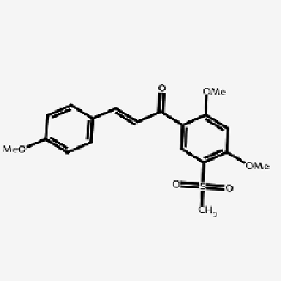 COc1ccc(/C=C/C(=O)c2cc(S(C)(=O)=O)c(OC)cc2OC)cc1